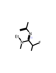 C=C(C)/N=C(/C(C)F)N(C)CC